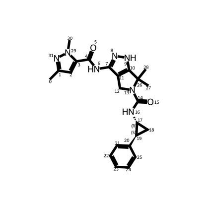 Cc1cc(C(=O)Nc2n[nH]c3c2CN(C(=O)N[C@@H]2C[C@H]2c2ccccc2)C3(C)C)n(C)n1